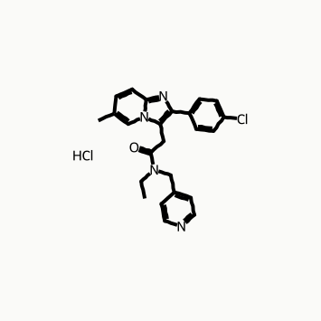 CCN(Cc1ccncc1)C(=O)Cc1c(-c2ccc(Cl)cc2)nc2ccc(C)cn12.Cl